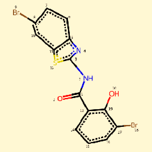 O=C(Nc1nc2ccc(Br)cc2s1)c1cccc(Br)c1O